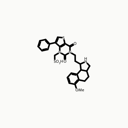 COc1cccc2c1CCC1CNC(CCn3c(=O)c4scc(-c5ccccc5)c4n(CS(=O)(=O)O)c3=O)C21